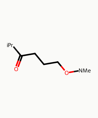 CNOCCCC(=O)C(C)C